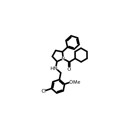 COc1ccc(Cl)cc1CNC1CCC(c2ccccc2)N1C(=O)C1CCCCC1